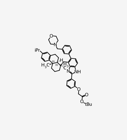 CC(C)c1ccc2c(c1)CC[C@H]1[C@@](C)(Cc3c(-c4cccc(CN5CCOCC5)c4)ccc4[nH]c(-c5cccc(OCC(=O)OC(C)(C)C)c5)nc34)CCC[C@]21C